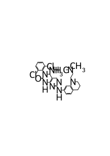 CN(C)CCN1CCCc2ccc(Nc3ncc4c(=N)n(-c5c(Cl)cccc5Cl)c(=O)[nH]c4n3)cc21